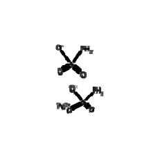 O=S(=O)([O-])P.O=S(=O)([O-])P.[Pd+2]